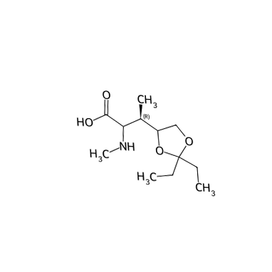 CCC1(CC)OCC([C@H](C)C(NC)C(=O)O)O1